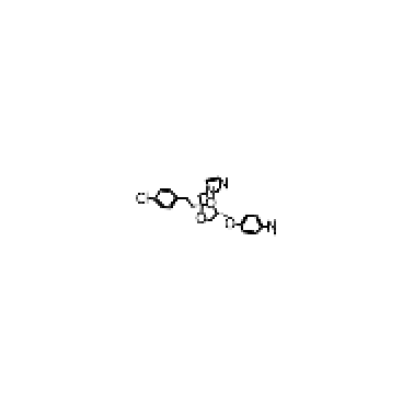 CN(C)c1ccc(OC[C@@H]2CO[C@](CCc3ccc(Cl)cc3)(Cn3ccnc3)O2)cc1